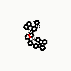 c1ccc(-c2ccccc2N(c2ccc3c(c2)C2(c4ccccc4-c4ccccc42)c2ccccc2-3)c2ccc3oc4c(-c5cccc6ccccc56)c5c(cc4c3c2)oc2ccccc25)cc1